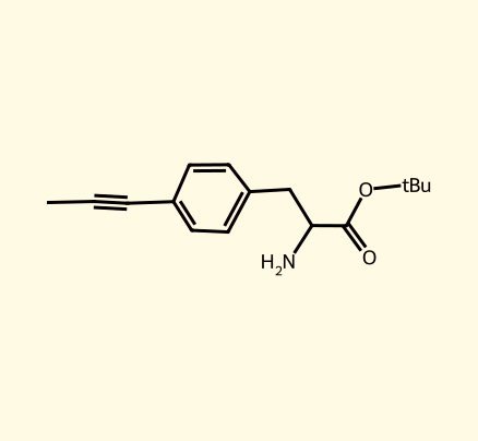 CC#Cc1ccc(CC(N)C(=O)OC(C)(C)C)cc1